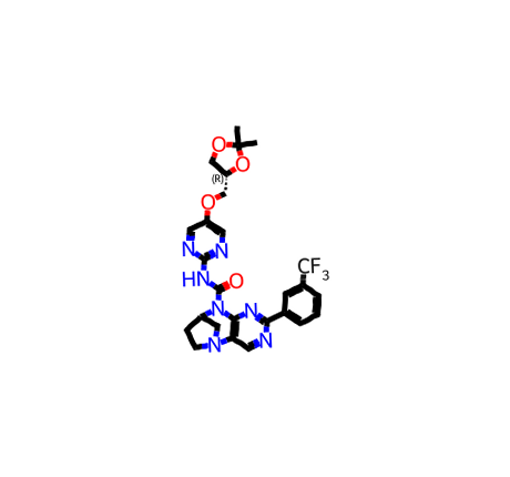 CC1(C)OC[C@@H](COc2cnc(NC(=O)N3c4nc(-c5cccc(C(F)(F)F)c5)ncc4N4CCC3C4)nc2)O1